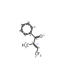 C/C(=C\C(F)(F)F)C(=O)c1cc[c]cc1